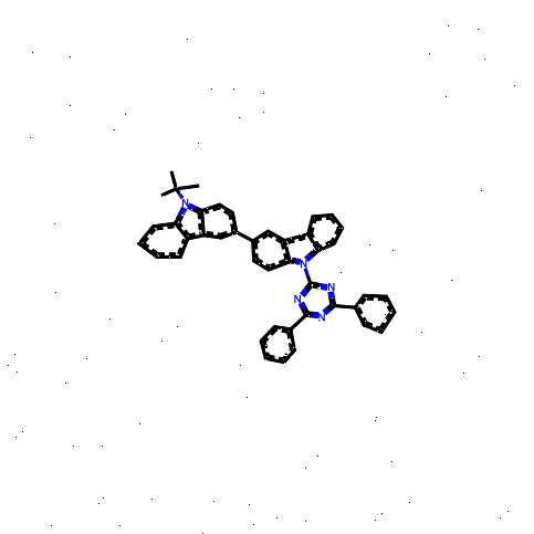 CC(C)(C)n1c2ccccc2c2cc(-c3ccc4c(c3)c3ccccc3n4-c3nc(-c4ccccc4)nc(-c4ccccc4)n3)ccc21